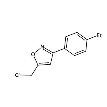 CCc1ccc(-c2cc(CCl)on2)cc1